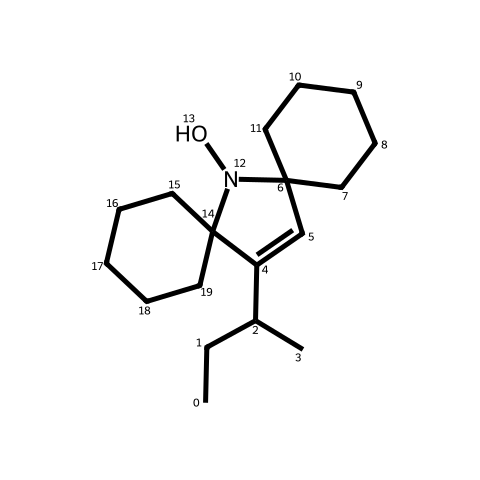 CCC(C)C1=CC2(CCCCC2)N(O)C12CCCCC2